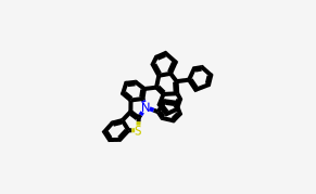 c1ccc(-c2c3ccccc3c(-c3cccc4c5c6ccccc6sc5n(-c5ccccc5)c34)c3ccccc23)cc1